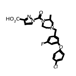 CC1CN(Cc2cc(F)cc(Oc3ccc(Cl)cc3)c2)CCN1C(=O)n1ccc(C(=O)O)n1